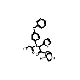 O=C(CCl)N(c1ccc(Oc2ccccc2)cc1)C(C(=O)N1CC2C[C@@H]1CN2)c1cccs1